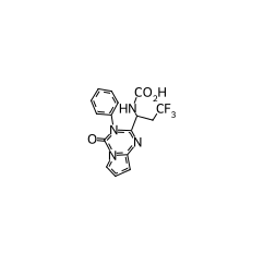 O=C(O)NC(CC(F)(F)F)c1nc2cccn2c(=O)n1-c1ccccc1